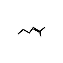 CCC[C]=C(C)C